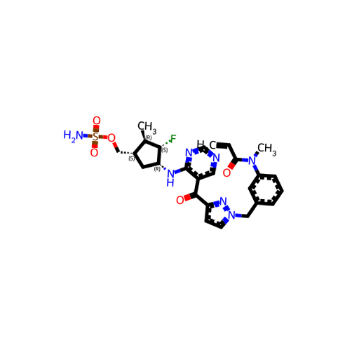 C=CC(=O)N(C)c1cccc(Cn2ccc(C(=O)c3cncnc3N[C@@H]3C[C@H](COS(N)(=O)=O)[C@@H](C)[C@@H]3F)n2)c1